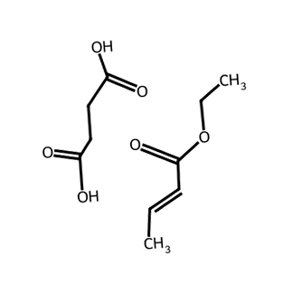 CC=CC(=O)OCC.O=C(O)CCC(=O)O